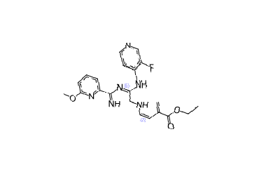 C=C(/C=C\NC/C(=N\C(=N)c1cccc(OC)n1)Nc1ccncc1F)C(=O)OCC